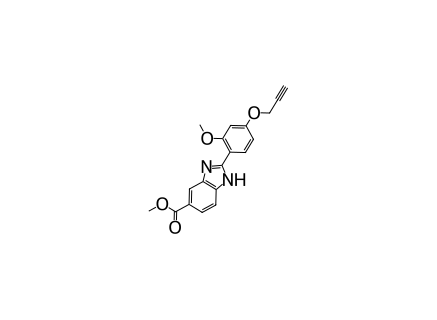 C#CCOc1ccc(-c2nc3cc(C(=O)OC)ccc3[nH]2)c(OC)c1